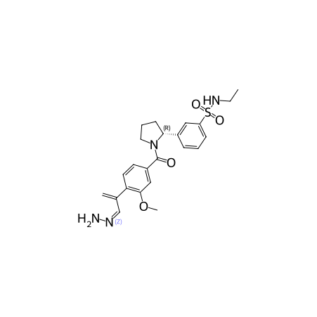 C=C(/C=N\N)c1ccc(C(=O)N2CCC[C@@H]2c2cccc(S(=O)(=O)NCC)c2)cc1OC